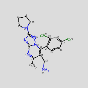 Cc1nc2nc(N3CCCC3)nn2c(-c2ccc(Cl)cc2Cl)c1CN